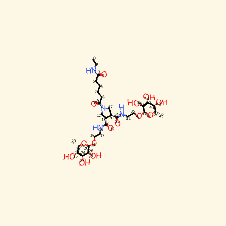 CCNC(=O)CCCCC(=O)N1C[C@H](C(=O)NCCO[C@@H]2O[C@@H](C)[C@@H](O)[C@@H](O)[C@@H]2O)[C@H](C(=O)NCCO[C@@H]2O[C@@H](C)[C@@H](O)[C@@H](O)[C@@H]2O)C1